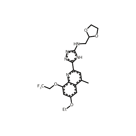 CCOc1cc(OCC(F)(F)F)c2nc(-c3nnc(NCC4OCCO4)[nH]3)cc(C)c2c1